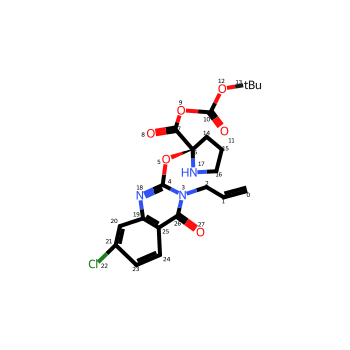 C=CCn1c(O[C@@]2(C(=O)OC(=O)OC(C)(C)C)CCCN2)nc2cc(Cl)ccc2c1=O